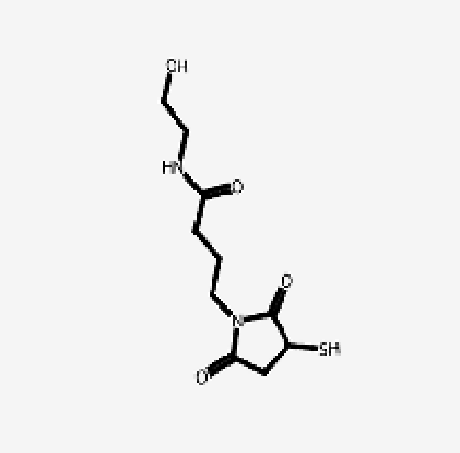 O=C(CCCN1C(=O)CC(S)C1=O)NCCO